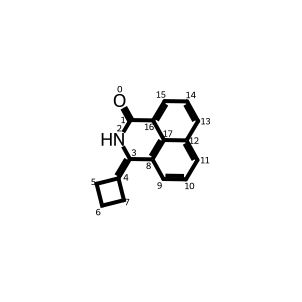 O=c1[nH]c(=C2CCC2)c2cccc3cccc1c32